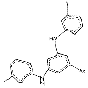 CC(=O)c1cc(Nc2cccc(C)c2)cc(Nc2cccc(C)c2)c1